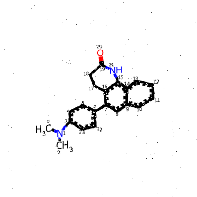 CN(C)c1ccc(-c2cc3ccccc3c3c2CCC(=O)N3)cc1